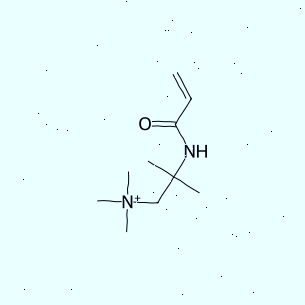 C=CC(=O)NC(C)(C)C[N+](C)(C)C